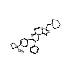 NC1(c2ccc(-c3nc4ccn5c(CN6CCCCC6)nnc5c4cc3-c3ccccc3)cc2)CCC1